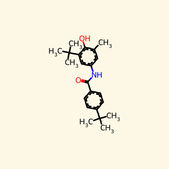 Cc1cc(NC(=O)c2ccc(C(C)(C)C)cc2)cc(C(C)(C)C)c1O